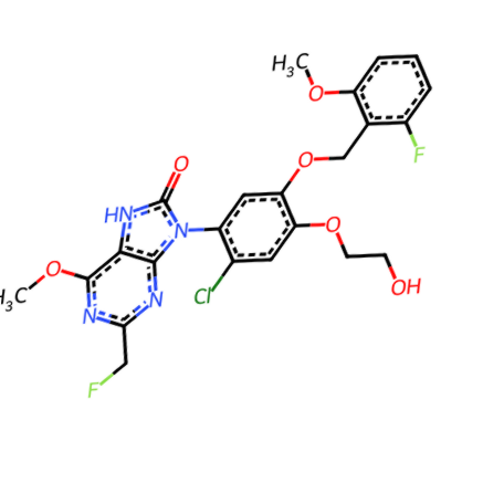 COc1cccc(F)c1COc1cc(-n2c(=O)[nH]c3c(OC)nc(CF)nc32)c(Cl)cc1OCCO